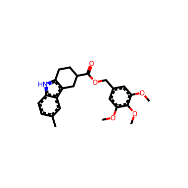 COc1cc(COC(=O)C2CCc3[nH]c4ccc(C)cc4c3C2)cc(OC)c1OC